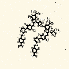 CC1(C)COCC1n1c(Cc2cc(F)c(-c3ccnc(OCc4ccc(C(F)F)cc4F)n3)cc2Cl)nc2c(F)cc(C(=O)O)cc21.CC1(C)COCC1n1c(Cc2cc(F)c(-c3ccnc(OCc4ccc(C(F)F)cc4F)n3)cc2Cl)nc2c(F)cc(C(=O)O)cc21